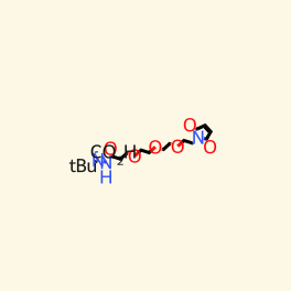 CC(C)(C)N(NC(=O)CCOCCOCCOCCN1C(=O)C=CC1=O)C(=O)O